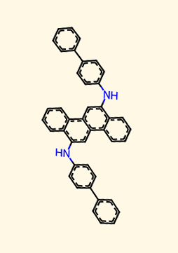 c1ccc(-c2ccc(Nc3cc4c5ccccc5c(Nc5ccc(-c6ccccc6)cc5)cc4c4ccccc34)cc2)cc1